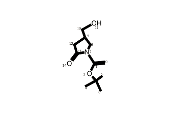 C=C(OC(C)(C)C)N1CC(CO)CC1=O